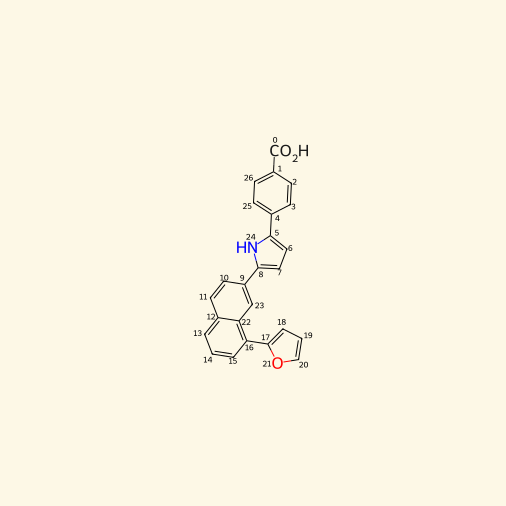 O=C(O)c1ccc(-c2ccc(-c3ccc4cccc(-c5ccco5)c4c3)[nH]2)cc1